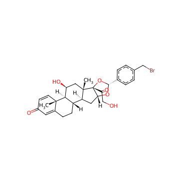 C[C@]12C=CC(=O)C=C1CC[C@@H]1[C@@H]2[C@@H](O)C[C@@]2(C)[C@H]1C[C@H]1O[C@@H](c3ccc(CBr)cc3)O[C@]12C(=O)CO